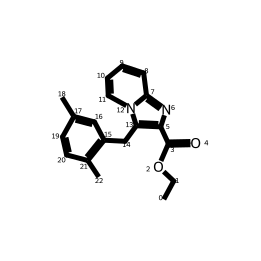 CCOC(=O)c1nc2ccccn2c1Cc1cc(C)ccc1C